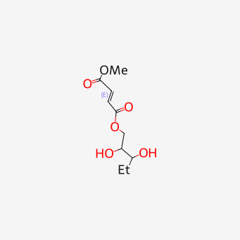 CCC(O)C(O)COC(=O)/C=C/C(=O)OC